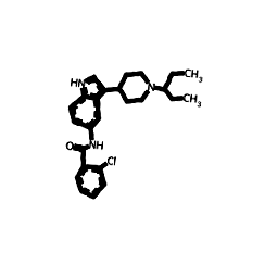 CCC(CC)N1CCC(c2c[nH]c3ccc(NC(=O)c4ccccc4Cl)cc23)CC1